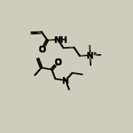 C=C(C)C(=O)CN(C)CC.C=CC(=O)NCCC[N+](C)(C)C